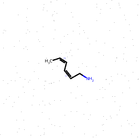 C/C=C\C=C/CN